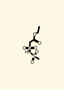 CCOC(=O)CS(=O)(=O)NS(C)(=O)=O